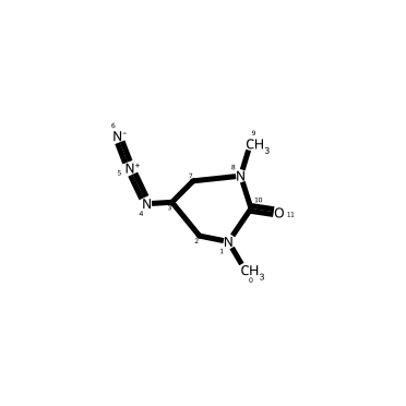 CN1CC(N=[N+]=[N-])CN(C)C1=O